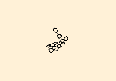 c1ccc(-c2ccc(-c3nc(-c4ccc5c(c4)C4(c6ccccc6O5)c5ccccc5-c5ccccc54)nc4ccccc34)cc2)cc1